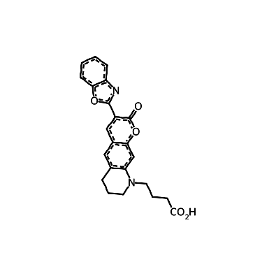 O=C(O)CCCN1CCCc2cc3cc(-c4nc5ccccc5o4)c(=O)oc3cc21